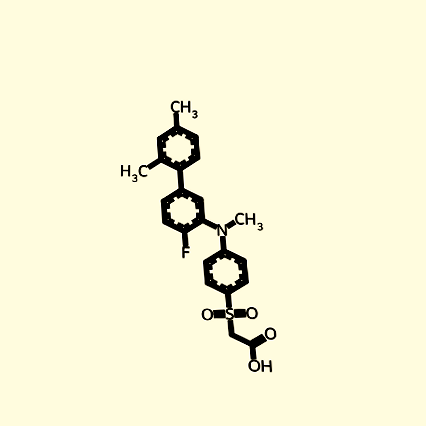 Cc1ccc(-c2ccc(F)c(N(C)c3ccc(S(=O)(=O)CC(=O)O)cc3)c2)c(C)c1